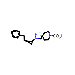 O=C(O)N1CCC(F)(CNC2CC2C=Cc2ccccc2)CC1